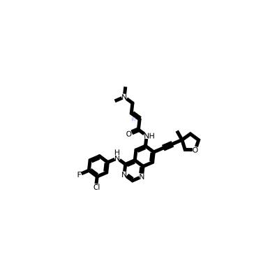 CN(C)C/C=C/C(=O)Nc1cc2c(Nc3ccc(F)c(Cl)c3)ncnc2cc1C#CC1(C)CCOC1